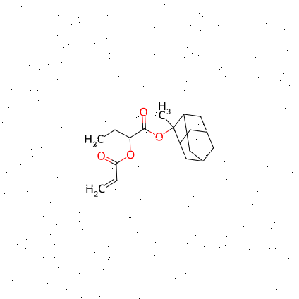 C=CC(=O)OC(CC)C(=O)OC1(C)C2CC3CC(C2)CC1C3